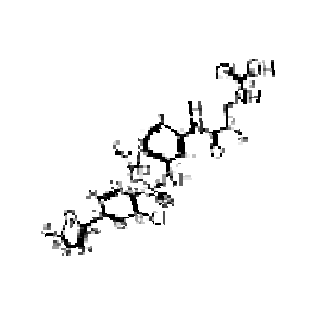 COc1ccc(NC(=O)[C@H](C)CNC(=O)O)cc1NS(=O)(=O)c1ccc(-c2ccc(C)o2)cc1Cl